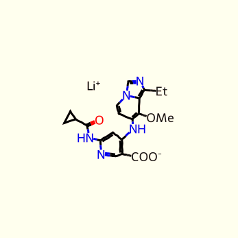 CCc1ncn2ccc(Nc3cc(NC(=O)C4CC4)ncc3C(=O)[O-])c(OC)c12.[Li+]